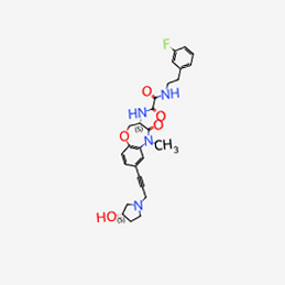 CN1C(=O)[C@@H](NC(=O)C(=O)NCCc2cccc(F)c2)COc2ccc(C#CCN3CC[C@H](O)C3)cc21